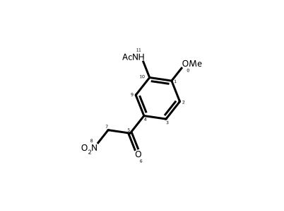 COc1ccc(C(=O)C[N+](=O)[O-])cc1NC(C)=O